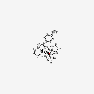 CC(C)c1ccc(-c2nc3ccccn3c2CN2CC3CC(C2)N3C(=O)C2CCCC2)cc1